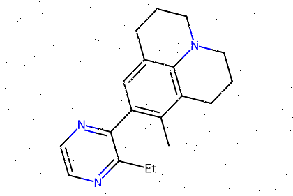 CCc1nccnc1-c1cc2c3c(c1C)CCCN3CCC2